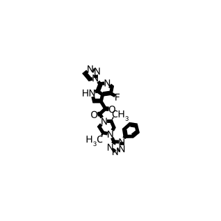 C[C@@H]1CN(c2nnnn2-c2ccccc2)[C@@H](C)CN1C(=O)C(=O)c1c[nH]c2c(-n3ccnn3)ncc(F)c12